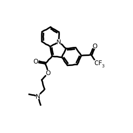 CN(C)CCOC(=O)c1c2ccc(C(=O)C(F)(F)F)cc2n2ccccc12